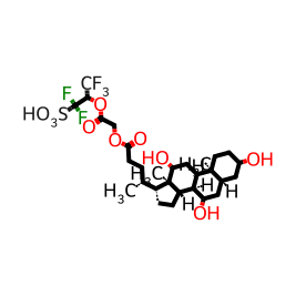 C[C@H](CCC(=O)OCC(=O)OC(C(F)(F)F)C(F)(F)S(=O)(=O)O)[C@H]1CC[C@H]2[C@@H]3C(O)C[C@@H]4CC(O)CC[C@]4(C)[C@H]3CC(O)[C@]12C